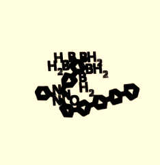 Bc1c(B)c(B)c(-c2ccc(-c3nc(-c4ccccc4)nc(-c4cccc5c4oc4cc(-c6ccc(-c7ccc(-c8ccccc8)cc7)cc6)ccc45)n3)cc2)c(B)c1B